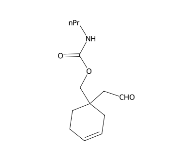 CCCNC(=O)OCC1(CC=O)CC=CCC1